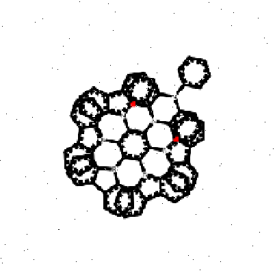 c1ccc(N2c3ccccc3N(c3c(-n4c5ccccc5c5ccccc54)c(-n4c5ccccc5c5ccccc54)c(B4c5ccccc5-c5ccccc54)c(-n4c5ccccc5c5ccccc54)c3-n3c4ccccc4c4ccccc43)c3ccccc32)cc1